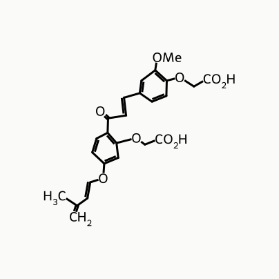 C=C(C)C=COc1ccc(C(=O)C=Cc2ccc(OCC(=O)O)c(OC)c2)c(OCC(=O)O)c1